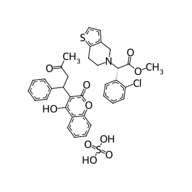 CC(=O)CC(c1ccccc1)c1c(O)c2ccccc2oc1=O.COC(=O)[C@H](c1ccccc1Cl)N1CCc2sccc2C1.O=S(=O)(O)O